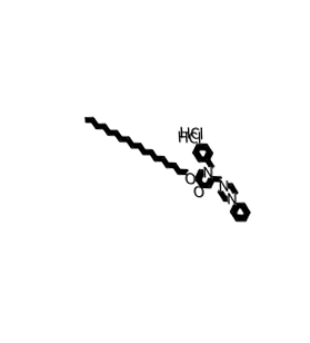 CCCCCCCCCCCCCCCCCCOc1cn(Cc2ccccc2)c(CN2CCN(c3ccccc3)CC2)cc1=O.Cl.Cl